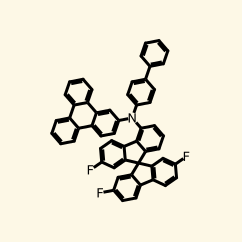 Fc1ccc2c(c1)C1(c3cc(F)ccc3-2)c2cc(F)ccc2-c2c(N(c3ccc(-c4ccccc4)cc3)c3ccc4c5ccccc5c5ccccc5c4c3)cccc21